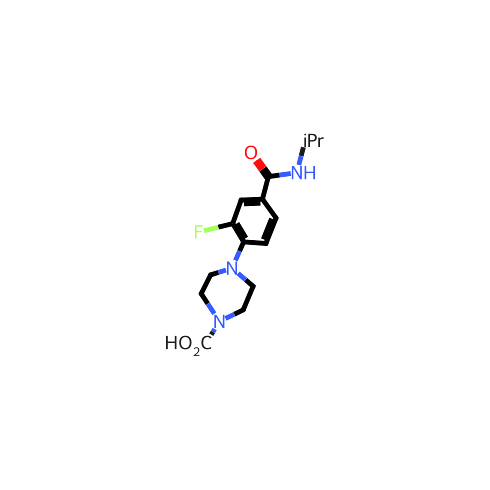 CC(C)NC(=O)c1ccc(N2CCN(C(=O)O)CC2)c(F)c1